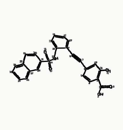 O=C(O)c1ccc(C#Cc2ccccc2NS(=O)(=O)c2ccc3ccccc3c2)cc1O